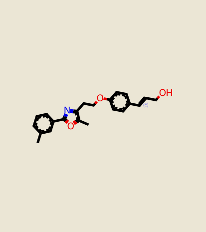 Cc1cccc(-c2nc(CCOc3ccc(/C=C/CO)cc3)c(C)o2)c1